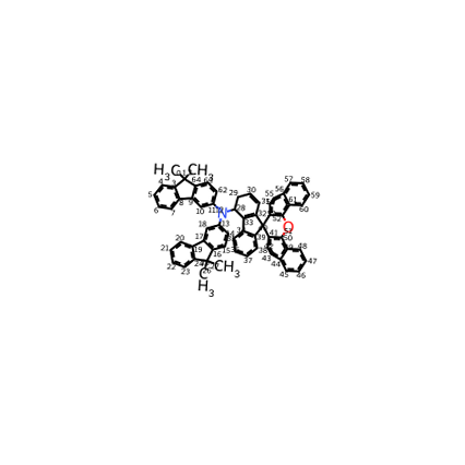 CC1(C)c2ccccc2-c2cc(N(c3ccc4c(c3)-c3ccccc3C4(C)C)C3CC=CC4=C3c3ccccc3C43c4ccc5ccccc5c4Oc4c3ccc3ccccc43)ccc21